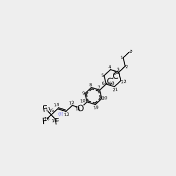 CCCC12CCC(c3ccc(OC/C=C/C(F)(F)F)cc3)(CC1)CC2